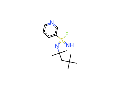 CC(C)(C)CC(C)(C)N=S(=N)(F)c1cccnc1